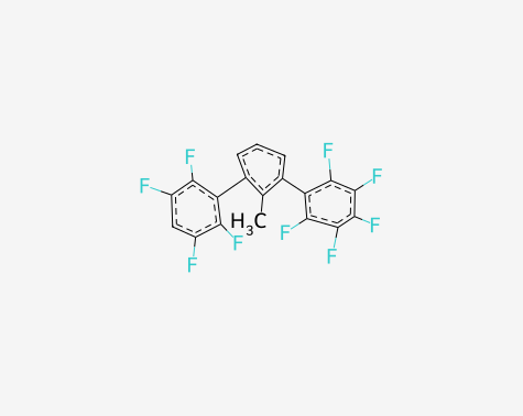 Cc1c(-c2c(F)c(F)cc(F)c2F)cccc1-c1c(F)c(F)c(F)c(F)c1F